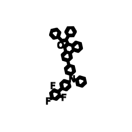 Fc1cc(F)c(-c2ccc(N(c3ccccc3)c3ccc(-c4ccc5c(c4)c4ccccc4c4c(-c6ccccc6)c(-c6ccccc6)oc54)cc3)cc2)c(F)c1